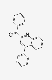 O=C(c1ccccc1)c1cc(-c2ccccc2)c2ccccc2n1